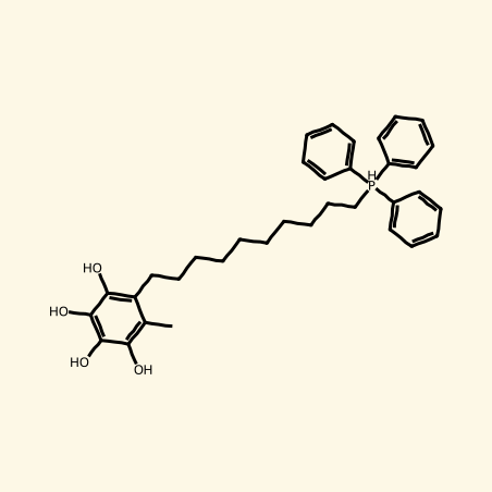 Cc1c(O)c(O)c(O)c(O)c1CCCCCCCCCC[PH](c1ccccc1)(c1ccccc1)c1ccccc1